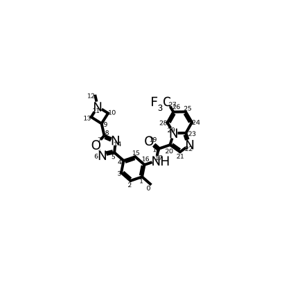 Cc1ccc(-c2noc(C3CN(C)C3)n2)cc1NC(=O)c1cnc2ccc(C(F)(F)F)cn12